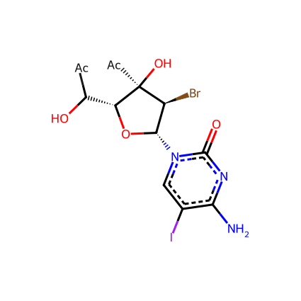 CC(=O)C(O)[C@H]1O[C@@H](n2cc(I)c(N)nc2=O)[C@H](Br)[C@@]1(O)C(C)=O